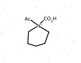 CC(=O)[N+]1(C(=O)O)CCCCC1